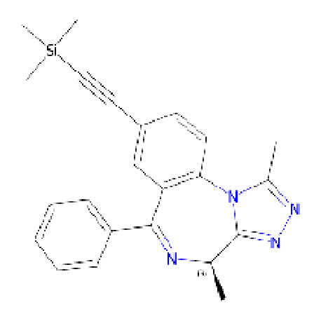 Cc1nnc2n1-c1ccc(C#C[Si](C)(C)C)cc1C(c1ccccc1)=N[C@@H]2C